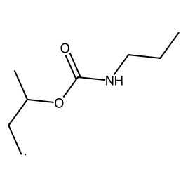 [CH2]CC(C)OC(=O)NCCC